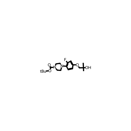 CC(C)(O)COc1ccc(N2CCN(C(=O)OC(C)(C)C)CC2)c(F)c1